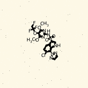 COc1nc(NS(=O)(=O)c2c[nH]c3c(-n4nccn4)c(Cl)ccc23)nc(OC)c1OC(F)(F)CF